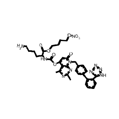 Cc1nc(C)c2c(OC(=O)NC(CCCCN)C(=O)OCCCCO[N+](=O)[O-])cc(=O)n(Cc3ccc(-c4ccccc4-c4nnn[nH]4)cc3)c2n1